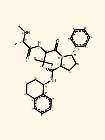 CN[C@@H](C)C(=O)NC(C(=O)N1[C@H](C(=O)N[C@@H]2CCCc3ccccc32)CC[C@H]1c1ccccc1)C(C)(C)C